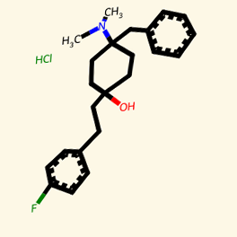 CN(C)C1(Cc2ccccc2)CCC(O)(CCc2ccc(F)cc2)CC1.Cl